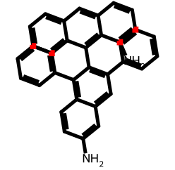 Nc1ccc2c(-c3ccccc3)c(-c3c4ccccc4cc4cccc(N)c34)c(-c3ccccc3)cc2c1